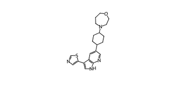 c1ncc(-c2c[nH]c3ncc(C4CCC(N5CCCOCC5)CC4)cc23)s1